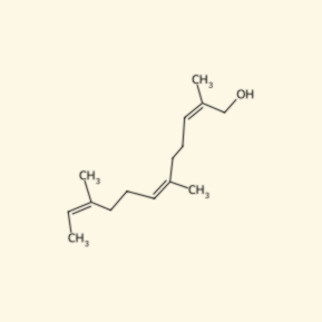 CC=C(C)CCC=C(C)CCC=C(C)CO